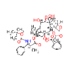 CC(=O)O[C@@]12CO[C@@H]1C[C@H](O)[C@@]1(C)C(=O)[C@H](O)C3=C(C)[C@@H](OC(=O)[C@H](C)[C@@H](NC(=O)OC(C)(C)C)c4ccccc4)C[C@@](O)([C@@H](OC(=O)c4ccccc4)[C@H]21)C3(C)C